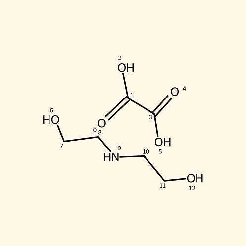 O=C(O)C(=O)O.OCCNCCO